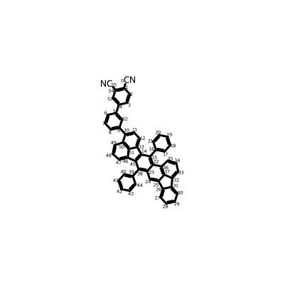 N#Cc1ccc(-c2cccc(-c3ccc4c5c(-c6ccccc6)c6c(cc7c8ccccc8c8cccc6c87)c(-c6ccccc6)c5c5cccc3c54)c2)cc1C#N